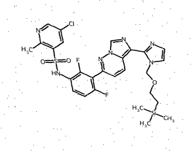 Cc1ncc(Cl)cc1S(=O)(=O)Nc1ccc(F)c(-c2ccc3c(-c4nccn4COCC[Si](C)(C)C)ncn3n2)c1F